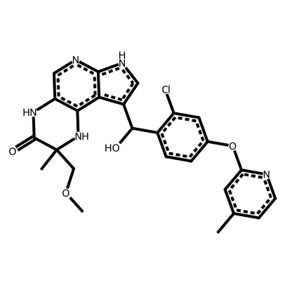 COCC1(C)Nc2c(cnc3[nH]cc(C(O)c4ccc(Oc5cc(C)ccn5)cc4Cl)c23)NC1=O